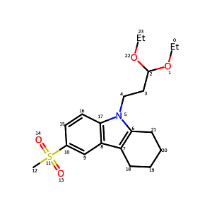 CCOC(CCn1c2c(c3cc(S(C)(=O)=O)ccc31)CCCC2)OCC